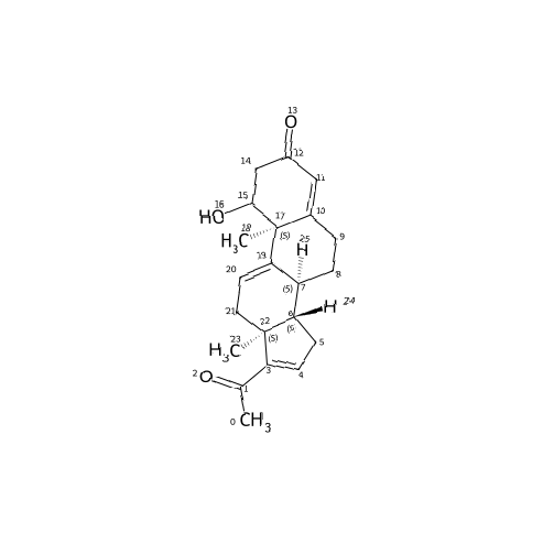 CC(=O)C1=CC[C@H]2[C@@H]3CCC4=CC(=O)CC(O)[C@]4(C)C3=CC[C@]12C